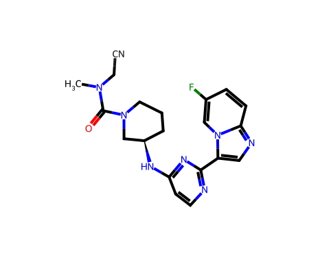 CN(CC#N)C(=O)N1CCC[C@@H](Nc2ccnc(-c3cnc4ccc(F)cn34)n2)C1